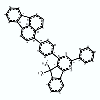 CC1(C)c2ccccc2-c2nc(-c3ccccc3)nc(-c3ccc(-c4ccc5c6c(cccc46)-c4ccccc4-5)cc3)c21